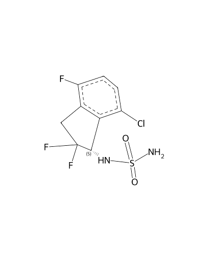 NS(=O)(=O)N[C@H]1c2c(Cl)ccc(F)c2CC1(F)F